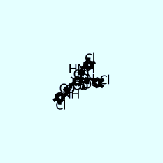 CO[C@H]1OC(COC(=O)Nc2ccc(C)c(Cl)c2)[C@@H](C)[C@H](OC(=O)Nc2ccc(C)c(Cl)c2)C1OC(=O)Nc1ccc(C)c(Cl)c1